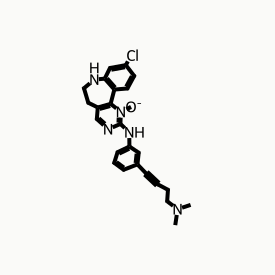 CN(C)CCC#Cc1cccc(Nc2ncc3c([n+]2[O-])-c2ccc(Cl)cc2NCC3)c1